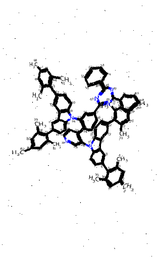 Cc1cc(C)c(-c2ccc3c(c2)c2cc(-c4c(C)cc(C)cc4C)ccc2n3-c2cnccc2-c2ccc(-c3nc(-c4ccccc4)nc(-c4ccccc4)n3)cc2-n2c3ccc(-c4c(C)cc(C)cc4C)cc3c3cc(-c4c(C)cc(C)cc4C)ccc32)c(C)c1